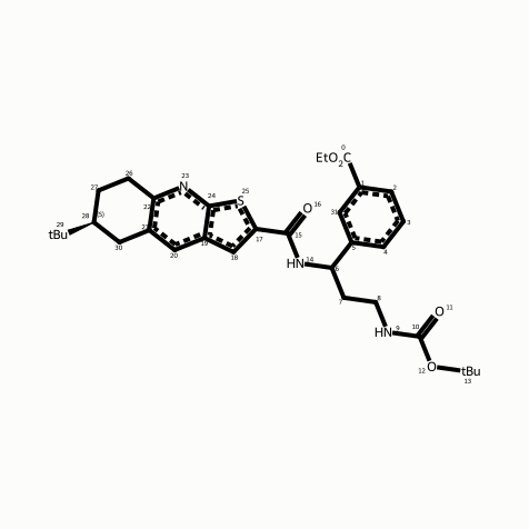 CCOC(=O)c1cccc(C(CCNC(=O)OC(C)(C)C)NC(=O)c2cc3cc4c(nc3s2)CC[C@H](C(C)(C)C)C4)c1